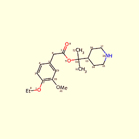 CCOc1ccc(CC(=O)OC(C)(C)C2CCNCC2)cc1OC